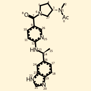 CC(=O)N(C)[C@H]1CCN(C(=O)c2ccc(N[C@@H](C)c3ccc4nc[nH]c4c3)nc2)C1